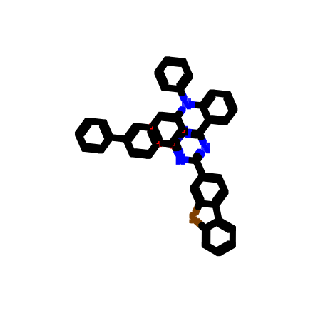 c1ccc(-c2ccc(-c3nc(-c4ccc5c(c4)sc4ccccc45)nc(-c4ccccc4N(c4ccccc4)c4ccccc4)n3)cc2)cc1